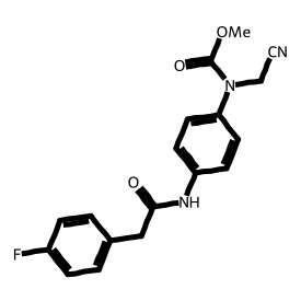 COC(=O)N(CC#N)c1ccc(NC(=O)Cc2ccc(F)cc2)cc1